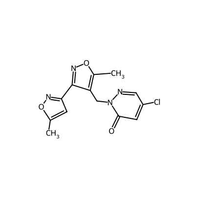 Cc1cc(-c2noc(C)c2Cn2ncc(Cl)cc2=O)no1